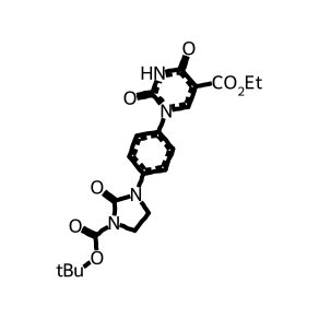 CCOC(=O)c1cn(-c2ccc(N3CCN(C(=O)OC(C)(C)C)C3=O)cc2)c(=O)[nH]c1=O